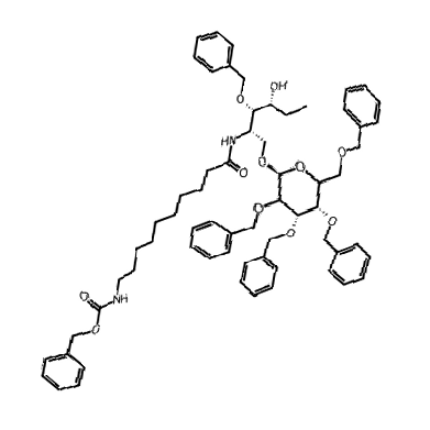 CC[C@@H](O)[C@@H](OCc1ccccc1)[C@H](CO[C@H]1OC(COCc2ccccc2)[C@H](OCc2ccccc2)[C@H](OCc2ccccc2)C1OCc1ccccc1)NC(=O)CCCCCCCCCNC(=O)OCc1ccccc1